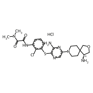 CN(C)C(=O)C(=O)Nc1cccc(Sc2ncc(N3CCC4(CC3)COC[C@H]4N)nc2N)c1Cl.Cl